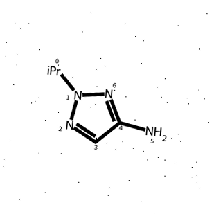 CC(C)n1ncc(N)n1